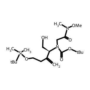 C=C(CCO[Si](C)(C)C(C)(C)C)[C@@H](CO)N(CC(=O)N(C)OC)C(=O)OC(C)(C)C